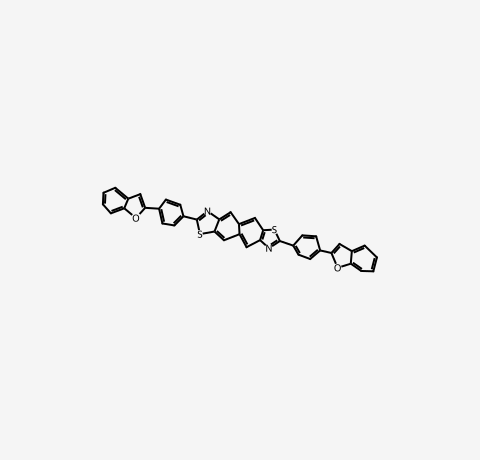 c1ccc2oc(-c3ccc(-c4nc5cc6cc7sc(-c8ccc(-c9cc%10ccccc%10o9)cc8)nc7cc6cc5s4)cc3)cc2c1